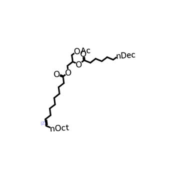 CCCCCCCC/C=C\CCCCCCCC(=O)OCC(COC(C)=O)OC(=O)CCCCCCCCCCCCCCC